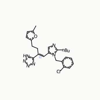 CCCCc1ncc(/C=C(\CCc2ccc(C)o2)c2nnn[nH]2)n1Cc1ccccc1Cl